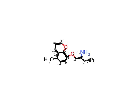 CC(C)CC(N)COC1=C2OC=CC=C2C(C)C=C1